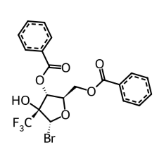 O=C(OC[C@H]1O[C@H](Br)[C@@](O)(C(F)(F)F)[C@@H]1OC(=O)c1ccccc1)c1ccccc1